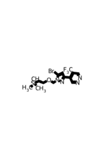 C[Si](C)(C)CCOCn1nc(-c2cnncc2C(F)(F)F)cc1Br